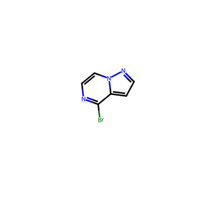 Brc1nccn2nccc12